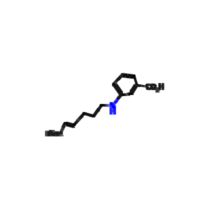 CCCCCCCCCC=CCCCNc1cccc(C(=O)O)c1